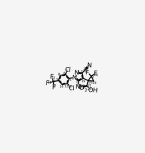 N#Cc1nn(-c2c(Cl)cc(C(F)(F)F)cc2Cl)c(N)c1C1(C(=O)O)CC1(F)F